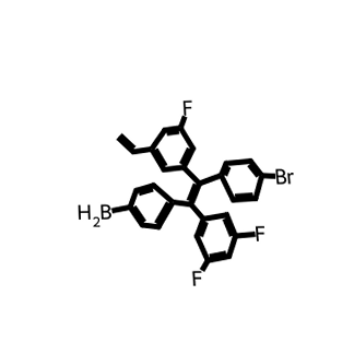 Bc1ccc(/C(=C(/c2ccc(Br)cc2)c2cc(F)cc(C=C)c2)c2cc(F)cc(F)c2)cc1